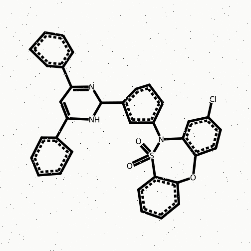 O=S1(=O)c2ccccc2Oc2ccc(Cl)cc2N1c1cccc(C2N=C(c3ccccc3)C=C(c3ccccc3)N2)c1